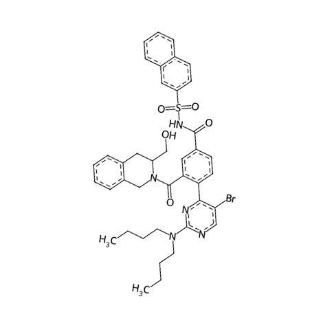 CCCCN(CCCC)c1ncc(Br)c(-c2ccc(C(=O)NS(=O)(=O)c3ccc4ccccc4c3)cc2C(=O)N2Cc3ccccc3CC2CO)n1